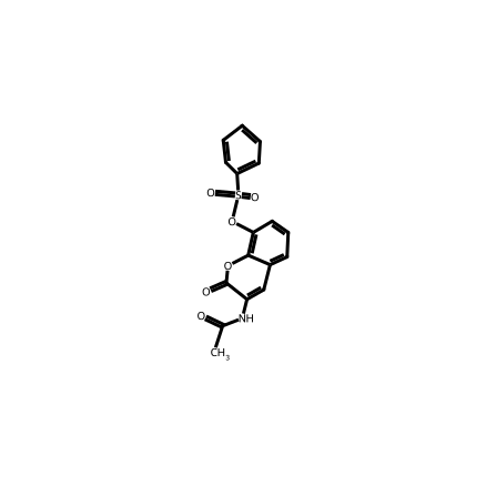 CC(=O)Nc1cc2cccc(OS(=O)(=O)c3ccccc3)c2oc1=O